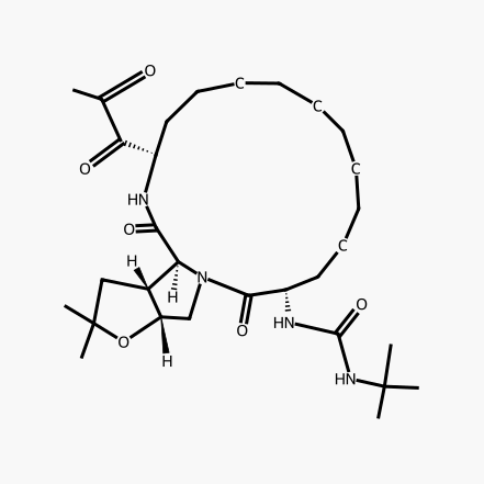 CC(=O)C(=O)[C@@H]1CCCCCCCCCC[C@H](NC(=O)NC(C)(C)C)C(=O)N2C[C@@H]3OC(C)(C)C[C@@H]3[C@H]2C(=O)N1